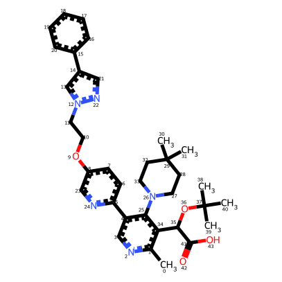 Cc1ncc(-c2ccc(OCCn3cc(-c4ccccc4)cn3)cn2)c(N2CCC(C)(C)CC2)c1C(OC(C)(C)C)C(=O)O